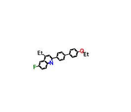 CCOc1ccc(-c2ccc(-c3cc(CC)c4cc(F)ccc4n3)cc2)cc1